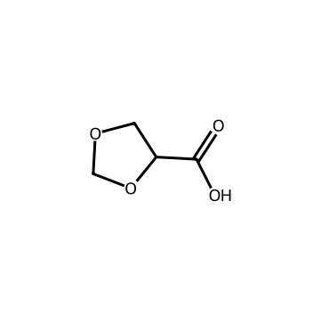 O=C(O)C1COCO1